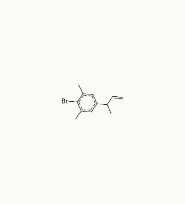 C=CC(C)c1cc(C)c(Br)c(C)c1